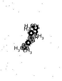 CN(CC1CCOC(C)(C)C1)c1ccccc1NS(=O)(=O)c1ccc(S(=O)(=O)N(C)C)cc1